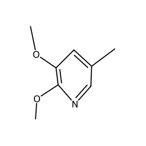 COc1cc(C)cnc1OC